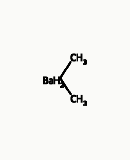 CCC.[BaH2]